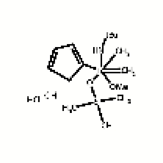 Cl.Cl.[CH2]=[Ti]([CH3])([NH]C(C)(C)C)([O]C)([O][Si](C)(C)C)[C]1=CC=CC1